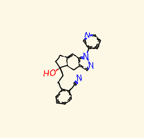 N#Cc1ccccc1CC[C@]1(O)CCC2=Cc3c(cnn3-c3cccnc3)CC21